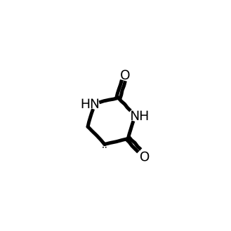 O=C1[C]CNC(=O)N1